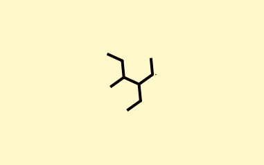 C[CH]C(CC)C(C)CC